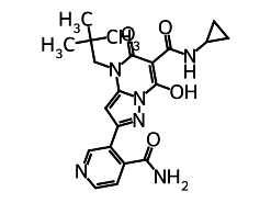 CC(C)(C)Cn1c(=O)c(C(=O)NC2CC2)c(O)n2nc(-c3cnccc3C(N)=O)cc12